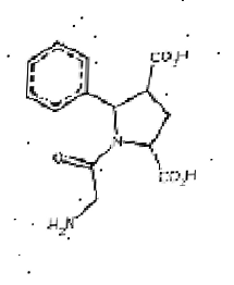 NCC(=O)N1C(C(=O)O)CC(C(=O)O)C1c1ccccc1